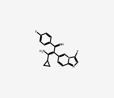 N=C(/C(=C(\N)C1CC1)c1ccc2ncc(F)n2c1)c1ccc(F)cc1